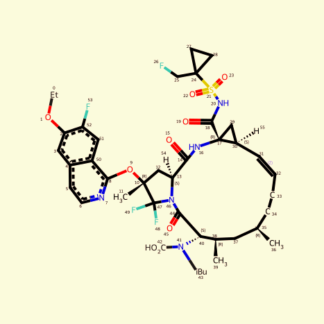 CCOc1cc2ccnc(O[C@]3(C)C[C@H]4C(=O)N[C@]5(C(=O)NS(=O)(=O)C6(CF)CC6)C[C@H]5/C=C\CC[C@@H](C)C[C@@H](C)[C@H](N(C(=O)O)C(C)CC)C(=O)N4C3(F)F)c2cc1F